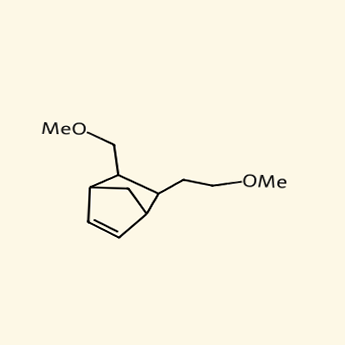 COCCC1C2C=CC(C2)C1COC